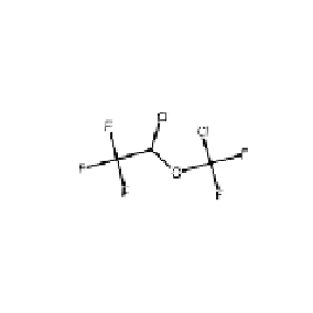 FC(F)(Cl)OC(Cl)C(F)(F)F